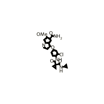 COc1cc2nccc(Oc3ccc(NC(=O)C4(C(=O)NC5CC5)CC4)c(Cl)c3)c2cc1C(N)=O